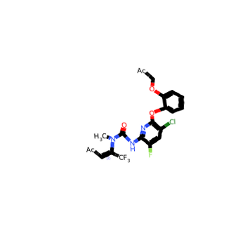 CC(=O)/C=C(\N(C)C(=O)Nc1nc(Oc2ccccc2OCC(C)=O)c(Cl)cc1F)C(F)(F)F